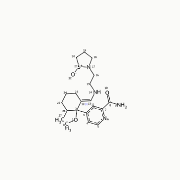 COC1(c2ccnc(C(N)=O)c2)/C(=C/NCCN2CCC[S+]2[O-])CCCC1C